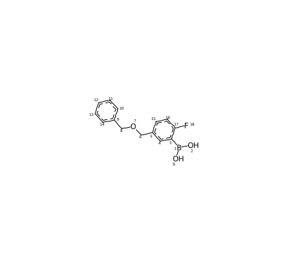 OB(O)c1cc(COCc2ccccc2)ccc1F